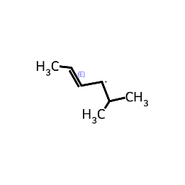 C/C=C/[CH]C(C)C